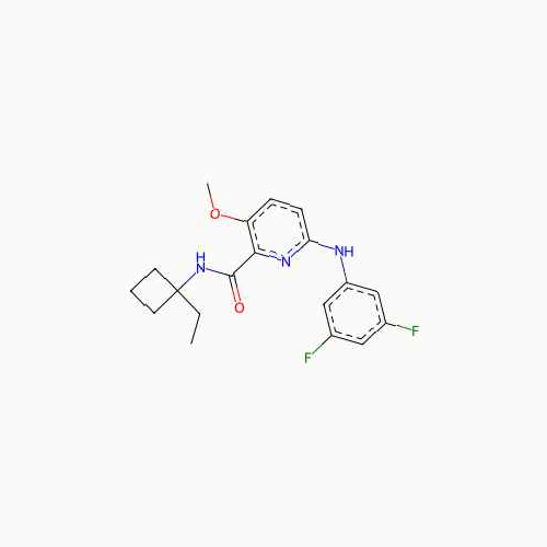 CCC1(NC(=O)c2nc(Nc3cc(F)cc(F)c3)ccc2OC)CCC1